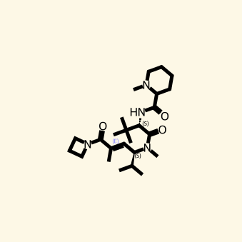 C/C(=C\[C@H](C(C)C)N(C)C(=O)[C@@H](NC(=O)C1CCCCN1C)C(C)(C)C)C(=O)N1CCC1